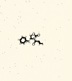 CC=CC(=O)N1C(=O)OC[C@H]1Cc1ccccc1